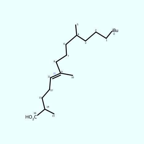 CCC(C)CCCC(C)CCC/C(C)=C/CCC(C)C(=O)O